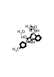 Cc1ccc(N2NN3c4ccccc4N(NS(C)(=O)=O)CC3C2O)cc1.O